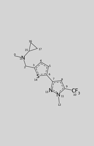 CN(Cc1ccc(-c2cc(C(F)(F)F)n(C)n2)s1)C1CC1